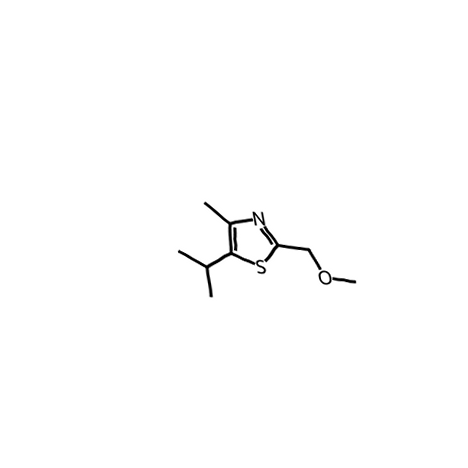 COCc1nc(C)c(C(C)C)s1